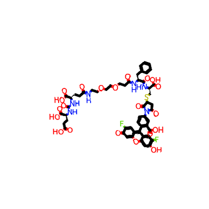 O=C(O)CC[C@H](NC(=O)N[C@@H](CCC(=O)NCCOCCOCCC(=O)N[C@@H](Cc1ccccc1)C(=O)N[C@@H](CSC1CC(=O)N(c2ccc(-c3c4cc(F)c(=O)cc-4oc4cc(O)c(F)cc34)c(C(=O)O)c2)C1=O)C(=O)O)C(=O)O)C(=O)O